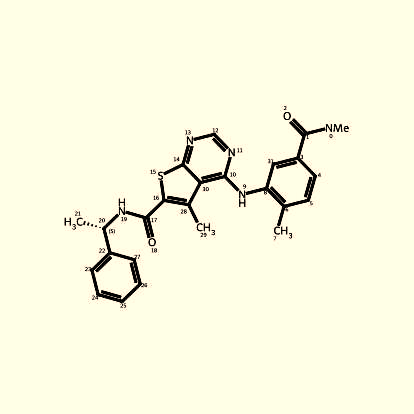 CNC(=O)c1ccc(C)c(Nc2ncnc3sc(C(=O)N[C@@H](C)c4ccccc4)c(C)c23)c1